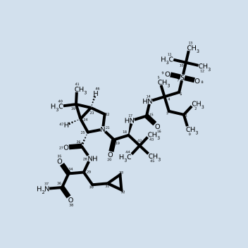 CC(C)CC(C)(CS(=O)(=O)C(C)(C)C)NC(=O)N[C@H](C(=O)N1C[C@H]2[C@@H]([C@H]1C(=O)NC(CC1CC1)C(=O)C(N)=O)C2(C)C)C(C)(C)C